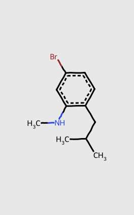 CNc1cc(Br)ccc1CC(C)C